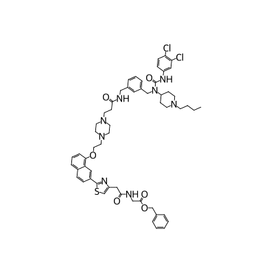 CCCCN1CCC(N(Cc2cccc(CNC(=O)CCN3CCN(CCOc4cccc5ccc(-c6nc(CC(=O)NCC(=O)OCc7ccccc7)cs6)cc45)CC3)c2)C(=O)Nc2ccc(Cl)c(Cl)c2)CC1